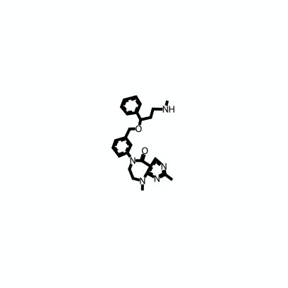 CNCCC(OCc1cccc(N2CCN(C)c3nc(C)ncc3C2=O)c1)c1ccccc1